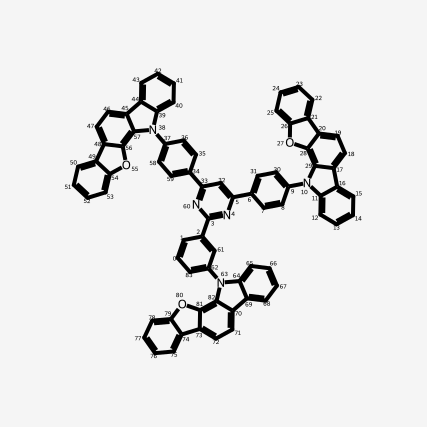 c1cc(-c2nc(-c3ccc(-n4c5ccccc5c5ccc6c7ccccc7oc6c54)cc3)cc(-c3ccc(-n4c5ccccc5c5ccc6c7ccccc7oc6c54)cc3)n2)cc(-n2c3ccccc3c3ccc4c5ccccc5oc4c32)c1